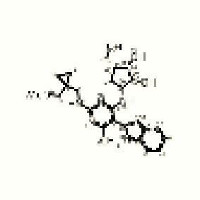 COCC1(CNc2nc(C)c(-c3nc4ccccc4s3)c(N[C@@H]3C[C@H](CO)[C@@H](O)[C@H]3O)n2)CC1